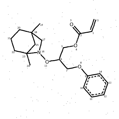 C=CC(=O)OCC(COc1ccccc1)ON1CC2(C)CCCC1(C)C2